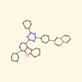 C1=CC2C=CC(c3ccc(-c4nc(-c5ccccc5)nc(-c5ccc(-c6ccccc6)c6oc7ccccc7c56)n4)cc3)=CC2C=C1